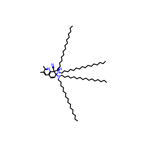 CCCCCCCCCCCCCCCCN(CCCCCCCCCCCCCCCC)C1(N(CCCCCCCCCCCCCCCC)CCCCCCCCCCCCCCCC)C=Cc2cc(C)c(C)nc2C1(C#N)C#N